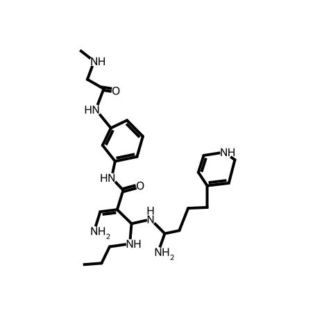 CCCNC(NC(N)CCCC1=CCNC=C1)/C(=C\N)C(=O)Nc1cccc(NC(=O)CNC)c1